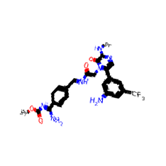 CC(C)Nc1ncc(-c2cc(N)cc(C(F)(F)F)c2)n(CC(=O)NCC2=CCC(/C(N)=N/C(=O)OC(C)C)C=C2)c1=O